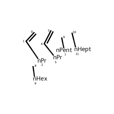 C=CCCC.C=CCCC.CCCCCC.CCCCCCC.CCCCCCCC